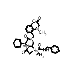 CN1CC(=O)Oc2cccc(CN3CC4N(C(=O)CN4N(C)C(=O)NCc4ccccc4)[C@@H](C4=CCCC=C4)C3=O)c21